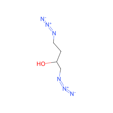 [N-]=[N+]=NCCC(O)CN=[N+]=[N-]